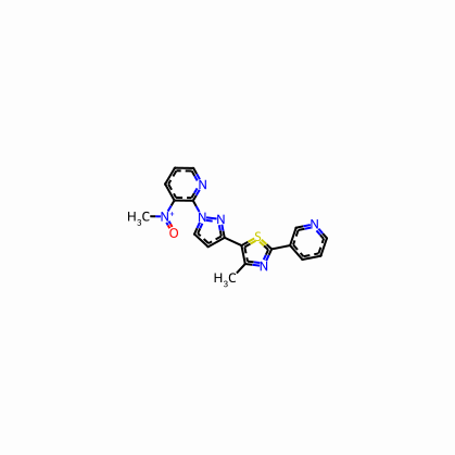 Cc1nc(-c2cccnc2)sc1-c1ccn(-c2ncccc2[N+](C)=O)n1